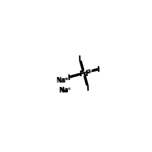 [I][Pd-2]([I])([I])[I].[Na+].[Na+]